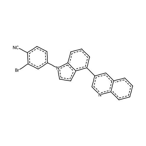 N#Cc1ccc(-n2ccc3c(-c4cnc5ccccc5c4)cccc32)cc1Br